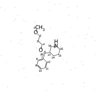 COCCCO[C@@H](c1ccccc1)C1CCCNC1